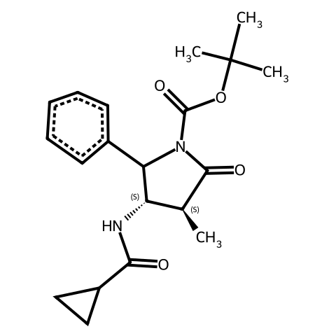 C[C@@H]1C(=O)N(C(=O)OC(C)(C)C)C(c2ccccc2)[C@H]1NC(=O)C1CC1